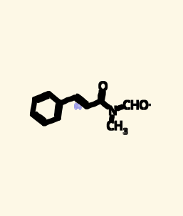 CN([C]=O)C(=O)/C=C/c1ccccc1